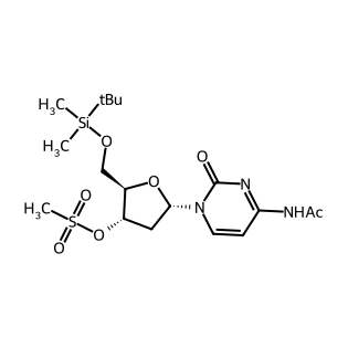 CC(=O)Nc1ccn([C@@H]2C[C@H](OS(C)(=O)=O)[C@@H](CO[Si](C)(C)C(C)(C)C)O2)c(=O)n1